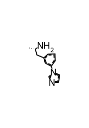 C[C@H](N)Cc1cccc(-n2ccnc2)c1